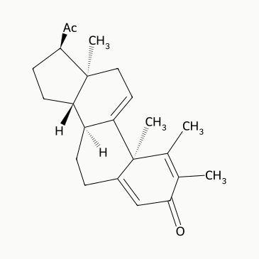 CC(=O)[C@@H]1CC[C@H]2[C@@H]3CCC4=CC(=O)C(C)=C(C)[C@]4(C)C3=CC[C@]12C